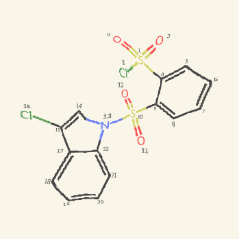 O=S(=O)(Cl)c1ccccc1S(=O)(=O)n1cc(Cl)c2ccccc21